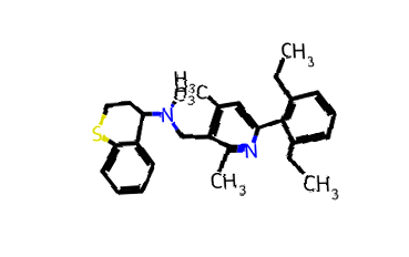 CCc1cccc(CC)c1-c1cc(C)c(CN(C)C2CCSc3ccccc32)c(C)n1